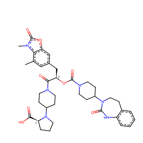 Cc1cc(C[C@@H](OC(=O)N2CCC(N3CCc4ccccc4NC3=O)CC2)C(=O)N2CCC(N3CCC[C@H]3C(=O)O)CC2)cc2oc(=O)n(C)c12